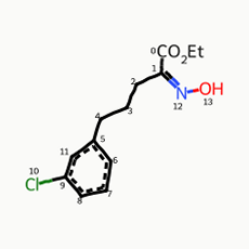 CCOC(=O)C(CCCc1cccc(Cl)c1)=NO